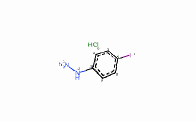 Cl.NNc1ccc(I)cc1